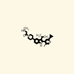 CNCC(=O)N1CCC(c2ccc3[nH]c(-c4cc(C5CC5)ncc4F)c(C(C)C)c3c2)CC1